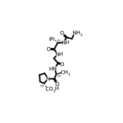 CC(C)[C@H](NC(=O)CN)C(=O)NCC(=O)N[C@@H](C)C(=O)N1CCC[C@H]1C(=O)O